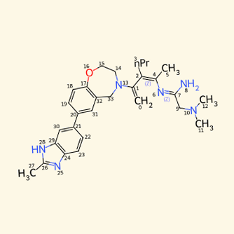 C=C(/C(CCC)=C(C)\N=C(/N)CN(C)C)N1CCOc2ccc(-c3ccc4nc(C)[nH]c4c3)cc2C1